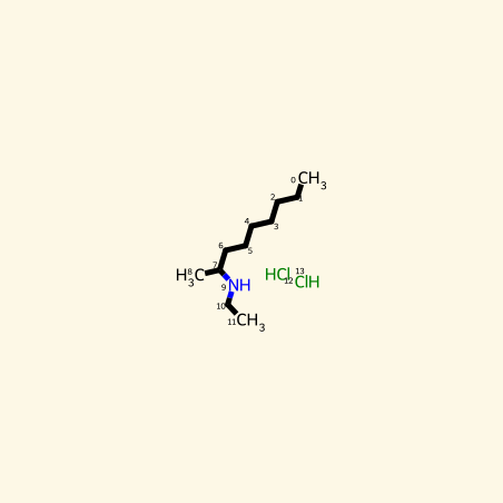 CCCCCCCC(C)NCC.Cl.Cl